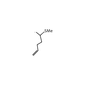 [CH2]C(CCC=C)SC